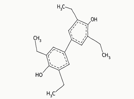 CCc1cc(-c2cc(CC)c(O)c(CC)c2)cc(CC)c1O